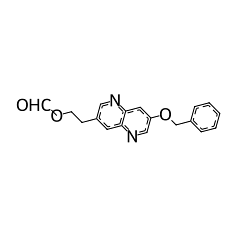 O=COCCc1cnc2cc(OCc3ccccc3)cnc2c1